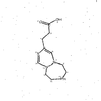 O=C(O)CCC1=CN2CCPCCN2C=N1